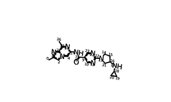 Cc1cn2cc(NC(=O)c3cnc(N4CCC(NC5CC5)C4)nc3)nc(C)c2n1